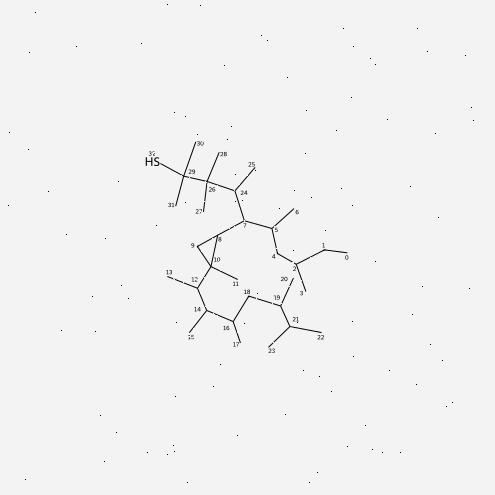 CCC(C)CC(C)C(C1CC1(C)C(C)C(C)C(C)CC(C)C(C)C)C(C)C(C)(C)C(C)(C)S